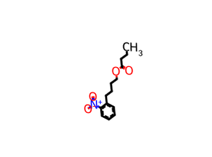 CCCC(=O)OCCCCc1ccccc1[N+](=O)[O-]